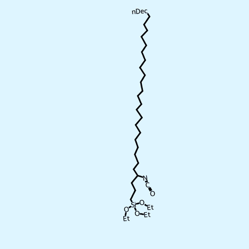 CCCCCCCCCCCCCCCCCCCCCCCCCCCCCCCCC(CCC[Si](OCC)(OCC)OCC)N=C=O